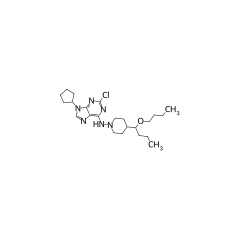 CCCCOC(CCC)C1CCN(Nc2nc(Cl)nc3c2ncn3C2CCCC2)CC1